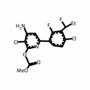 CCC(F)c1c(Cl)ccc(-c2cc(N)c(Cl)c(OC(=O)OC)n2)c1F